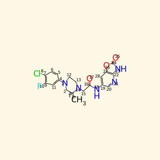 C[C@@H]1CN(c2ccc(Cl)c(F)c2)CCN1CC(=O)Nc1cnc2[nH]c(=O)oc2c1